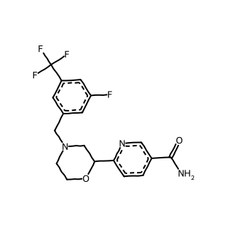 NC(=O)c1ccc(C2CN(Cc3cc(F)cc(C(F)(F)F)c3)CCO2)nc1